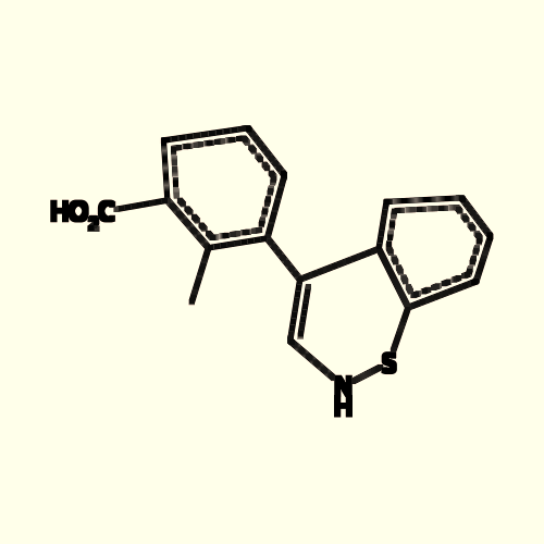 Cc1c(C(=O)O)cccc1C1=CNSc2ccccc21